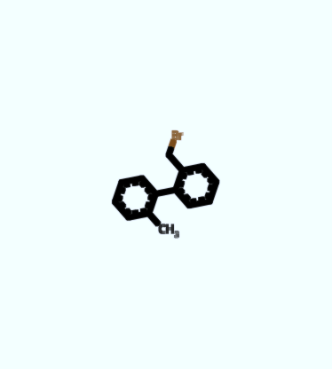 Cc1ccccc1-c1ccccc1CBr